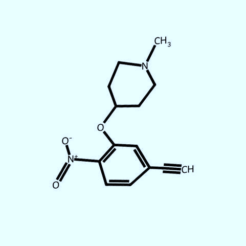 C#Cc1ccc([N+](=O)[O-])c(OC2CCN(C)CC2)c1